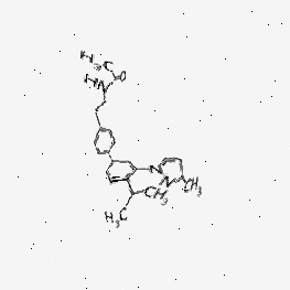 CC(=O)NCCc1ccc(-c2ccc(C(C)C)c(-n3ccc(C)n3)c2)cc1